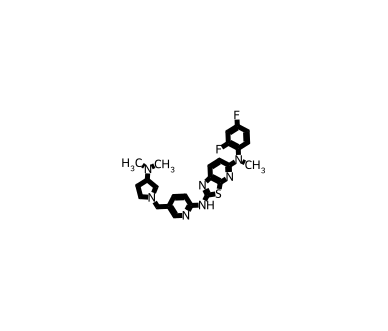 CN(c1ccc2nc(Nc3ccc(CN4CCC(N(C)C)C4)cn3)sc2n1)c1ccc(F)cc1F